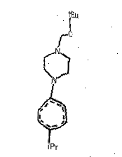 CC(C)c1ccc(N2CCN(COC(C)(C)C)CC2)cc1